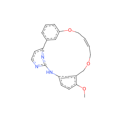 COc1ccc2cc1COC/C=C\COc1cccc(c1)-c1ccnc(n1)N2